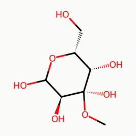 CO[C@@]1(O)[C@@H](O)C(O)O[C@H](CO)[C@@H]1O